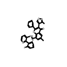 Cc1cc([C@@H](C)Nc2cccnc2-c2ccccc2F)c2oc(-c3ccccc3)c(-c3conc3C)c(=O)c2c1